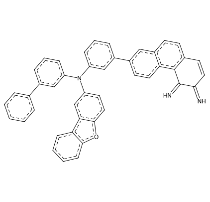 N=C1C=Cc2ccc3cc(-c4cccc(N(c5cccc(-c6ccccc6)c5)c5ccc6oc7ccccc7c6c5)c4)ccc3c2C1=N